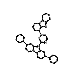 c1ccc(-c2ccc3c4ccc(-c5ccccc5)cc4n(-c4nccc(-c5cccc6c5sc5ccccc56)n4)c3c2)cc1